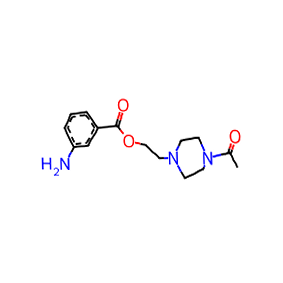 CC(=O)N1CCN(CCOC(=O)c2cccc(N)c2)CC1